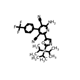 CC(C)[Si](c1ncc(-c2nc(N)c(C#N)c(-c3ccc(C(F)(F)F)cc3)c2C#N)o1)(C(C)C)C(C)C